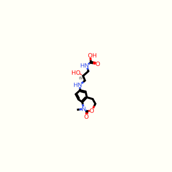 CN1C(=O)OCCc2cc(NC[C@H](O)CNC(=O)O)ccc21